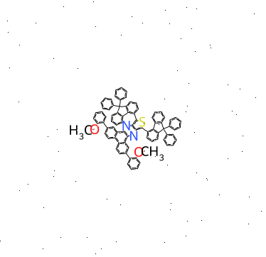 COc1ccccc1-c1ccc2c3ccc(-c4ccccc4OC)cc3c3nc4c(-c5cccc6c5-c5ccccc5C6(c5ccccc5)c5ccccc5)sc(-c5cccc6c5-c5ccccc5C6(c5ccccc5)c5ccccc5)c4nc3c2c1